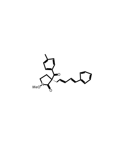 CON1CC[C@@](C/C=C/C=C/c2ccccc2)(C(=O)c2ccc(C)cc2)C1=O